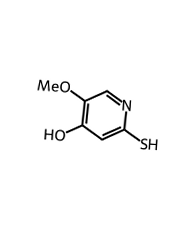 COc1cnc(S)cc1O